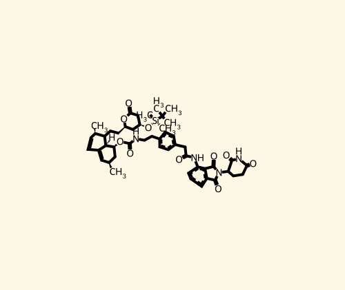 C[C@H]1C=C2C=C[C@H](C)C(CC[C@@H]3C[C@@H](O[Si](C)(C)C(C)(C)C)CC(=O)O3)[C@H]2[C@@H](OC(=O)NCCc2ccc(CC(=O)Nc3cccc4c3C(=O)N(C3CCC(=O)NC3=O)C4=O)cc2)C1